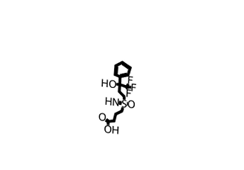 N=S(=O)(CCCC(=O)O)CCC(O)(c1ccccc1)C(F)(F)F